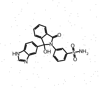 NS(=O)(=O)c1cccc(N2C(=O)c3ccccc3C2(O)c2ccc3[nH][c]nc3c2)c1